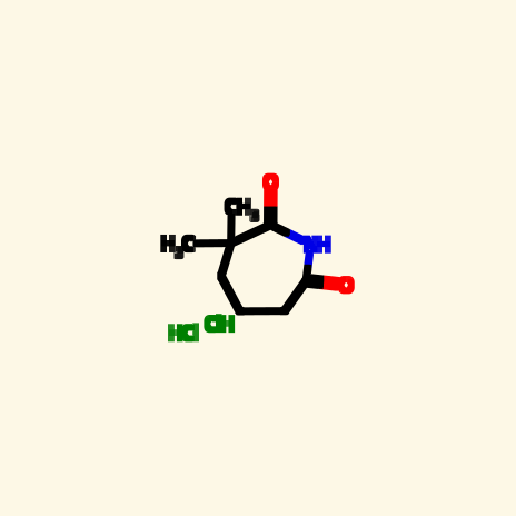 CC1(C)CCCC(=O)NC1=O.Cl.Cl